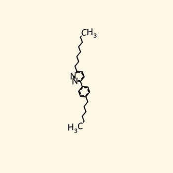 CCCCCCCCc1ccc(-c2ccc(CCCCCC)cc2)nn1